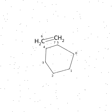 C1CCCCC1.C=C